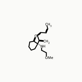 C=C(/C=C\C=C/C)[C@@]1(NCCOC)CCCCC1=O